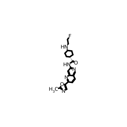 Cc1ncc(-c2ccc3cnc(NC(=O)[C@H]4CC[C@H](NCCF)CC4)cc3n2)o1